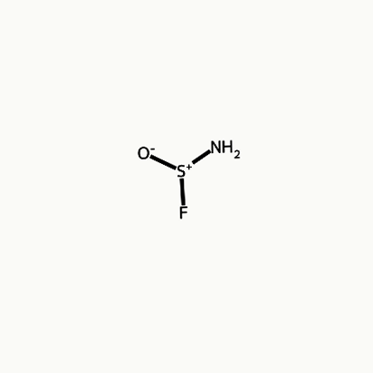 N[S+]([O-])F